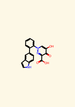 O=C(O)c1nn(-c2ccccc2-c2ccc3[nH]ccc3c2)cc(O)c1=O